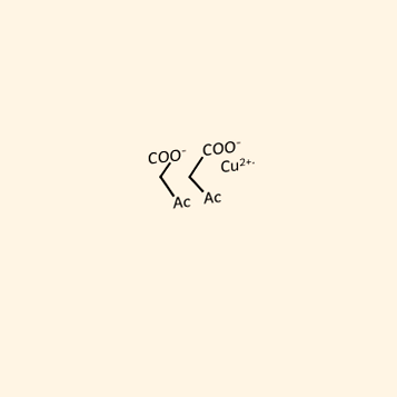 CC(=O)CC(=O)[O-].CC(=O)CC(=O)[O-].[Cu+2]